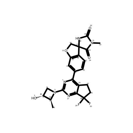 C[C@H]1[C@H](O)CN1c1nc(-c2ccc3c(c2)OCC32NC(=O)N(C)C2=O)c2c(n1)C(F)(F)CC2